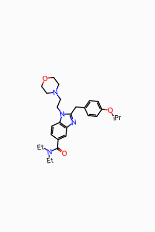 CCN(CC)C(=O)c1ccc2c(c1)nc(Cc1ccc(OC(C)C)cc1)n2CCN1CCOCC1